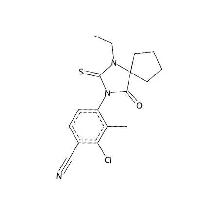 CCN1C(=S)N(c2ccc(C#N)c(Cl)c2C)C(=O)C12CCCC2